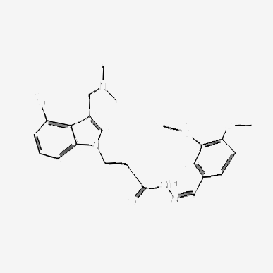 COc1ccc(/C=N\NC(=O)CCn2cc(CN(C)C)c3c(Cl)cccc32)cc1OC